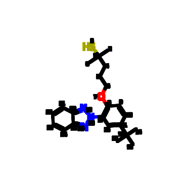 CC(C)(S)CCCOc1ccc(C(C)(C)C)cc1-n1nc2ccccc2n1